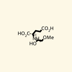 COCCO.N[C@@H](CCC(=O)O)C(=O)O